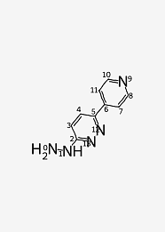 NNc1ccc(-c2ccncc2)nn1